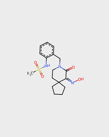 O=C1C(=NO)C2(CCCC2)CCN1Cc1ccccc1NS(=O)(=O)C(F)(F)F